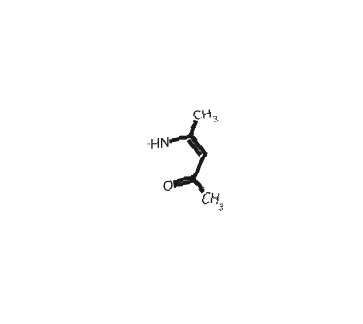 CC(=O)C=C(C)[NH]